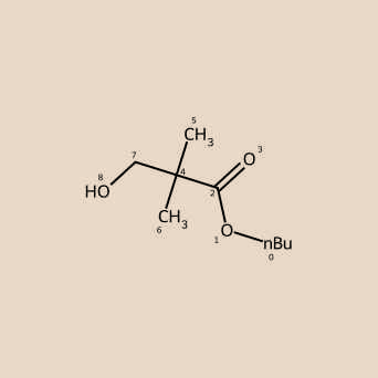 CCCCOC(=O)C(C)(C)CO